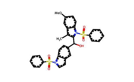 COc1ccc2c(c1)c(C)c(C(O)c1ccc3c(ccn3S(=O)(=O)c3ccccc3)c1)n2S(=O)(=O)c1ccccc1